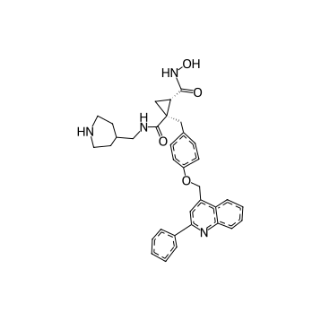 O=C(NO)[C@H]1C[C@]1(Cc1ccc(OCc2cc(-c3ccccc3)nc3ccccc23)cc1)C(=O)NCC1CCNCC1